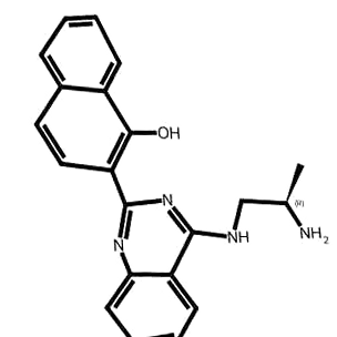 C[C@@H](N)CNc1nc(-c2ccc3ccccc3c2O)nc2ccccc12